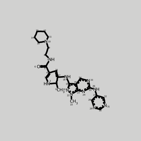 CC1NC=C(C(=O)NCCN2CCCCC2)C=C1Nc1nn(C)c2nc(Nc3cncnc3)ncc12